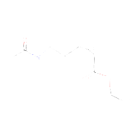 CC(C)C(=O)NCCC[C@H](C)C(=O)OCC(Cl)(Cl)Cl